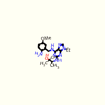 CCn1cnc2c(NCc3cc(OC)ccc3N)nc(NC(C)C(C)(C)O)nc21